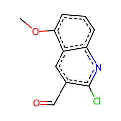 COc1cccc2nc(Cl)c(C=O)cc12